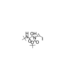 C=CC1CC1N(C(=O)OC(C)(C)C)C(O)C(=O)NC(C)(C)C